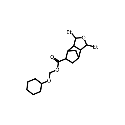 CCC1OC(CC)C2C3CC(CC3C(=O)OCOC3CCCCC3)C12